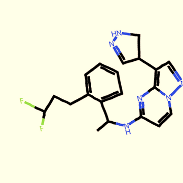 CC(Nc1ccn2ncc(C3C=NNC3)c2n1)c1ccccc1CCC(F)F